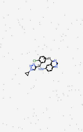 CNc1ncnc2ccc(N[C@H](c3cn(C4CC4)nn3)c3ccccc3Cl)cc12